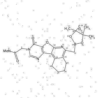 CNC(=O)Cn1cnc2c(oc3nc(CB4OC(C)(C)C(C)(C)O4)c4c(c32)CCCC4)c1=O